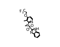 Cc1c(OCC(F)(F)F)ccnc1N(C)S(=O)(=O)c1nc2ccccc2[nH]1